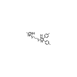 Cc1ccc(-c2nc(SCCCSc3nc(C)c[nH]3)[nH]c2-c2ccc(C)cc2)cc1